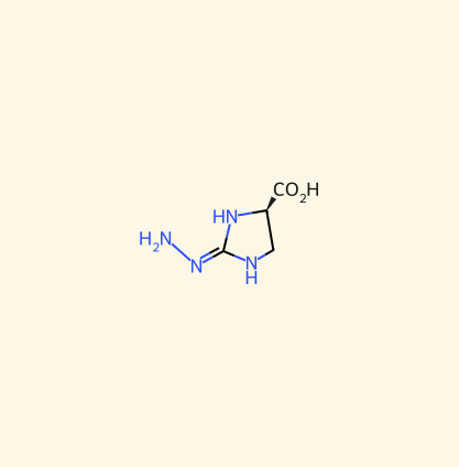 NN=C1NC[C@H](C(=O)O)N1